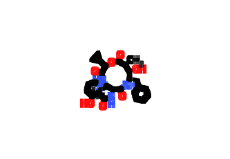 C[C@H]1NC(=O)C(C2CC2)OC(=O)[C@H](C)[C@H](O)[C@H](Cc2ccccc2)NC(=O)[C@H]1NC(=O)c1ncccc1O